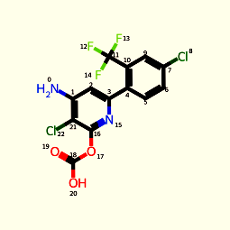 Nc1cc(-c2ccc(Cl)cc2C(F)(F)F)nc(OC(=O)O)c1Cl